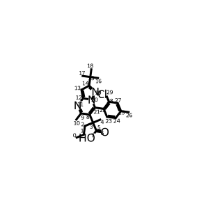 CCCC(C)(C(=O)O)c1c(C)nc2cc(C(C)(C)C)nn2c1-c1ccc(C)cc1Cl